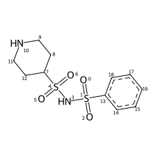 O=S(=O)(NS(=O)(=O)C1CCNCC1)c1ccccc1